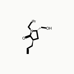 C=CC[C@@H]1C[C@@H](CO)N(CC(C)C)C1=O